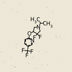 CC(C)N1CC(Oc2ccc(C(F)(F)F)cn2)C(F)(F)C1